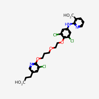 O=C(O)CCc1cnc(OCCCOCCOc2c(Cl)cc(Nc3ncccc3C(=O)O)cc2Cl)c(Cl)c1